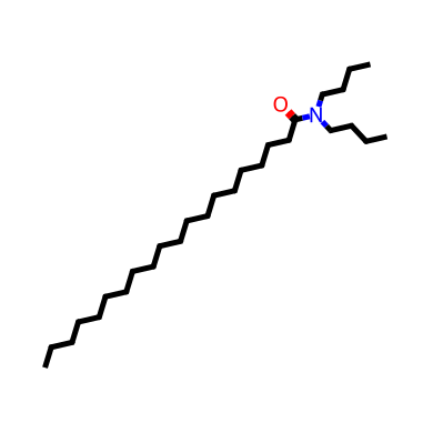 CCCCCCCCCCCCCCCCCCCC(=O)N(CCCC)CCCC